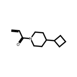 C=CC(=O)N1CCC(C2CCC2)CC1